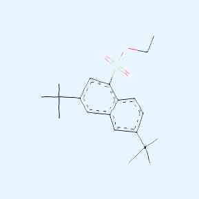 CCOS(=O)(=O)c1cc(C(C)(C)C)cc2cc(C(C)(C)C)ccc12